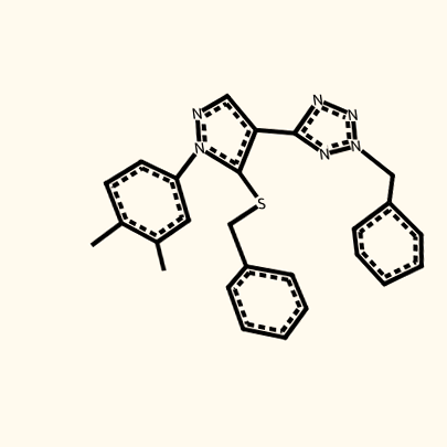 Cc1ccc(-n2ncc(-c3nnn(Cc4ccccc4)n3)c2SCc2ccccc2)cc1C